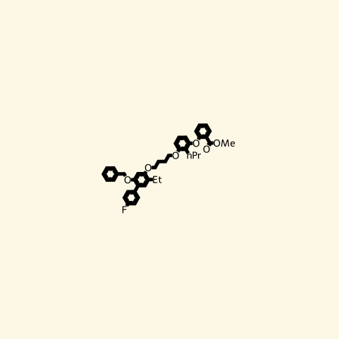 CCCc1c(OCCCCOc2cc(OCc3ccccc3)c(-c3ccc(F)cc3)cc2CC)cccc1Oc1ccccc1C(=O)OC